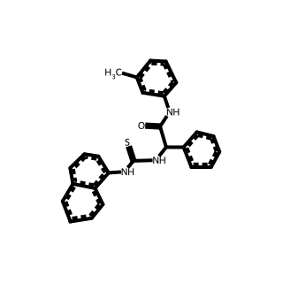 Cc1cccc(NC(=O)C(NC(=S)Nc2cccc3ccccc23)c2ccccc2)c1